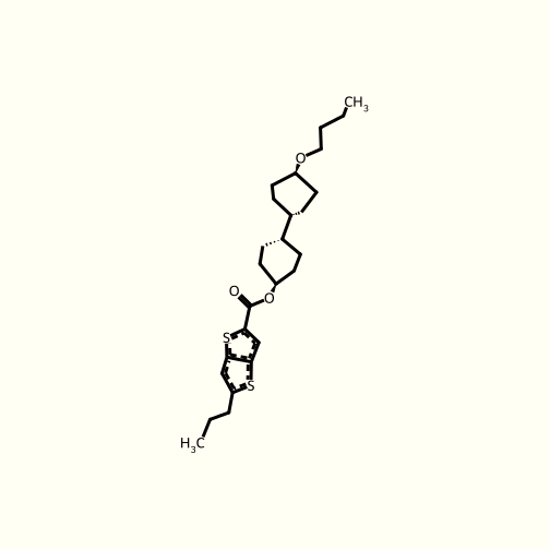 CCCCO[C@H]1CC[C@H]([C@H]2CC[C@H](OC(=O)c3cc4sc(CCC)cc4s3)CC2)CC1